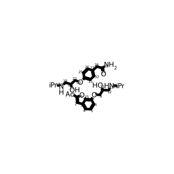 CC(=O)c1cc2cccc(OCC(O)CNC(C)C)c2o1.CC(C)NCC(O)COc1ccc(CC(N)=O)cc1